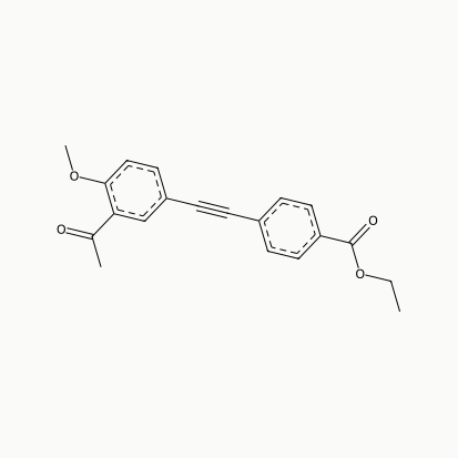 CCOC(=O)c1ccc(C#Cc2ccc(OC)c(C(C)=O)c2)cc1